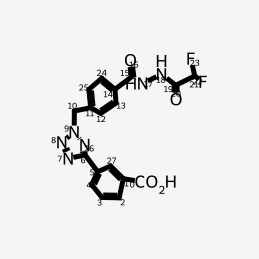 O=C(O)c1cccc(-c2nnn(Cc3ccc(C(=O)NNC(=O)C(F)F)cc3)n2)c1